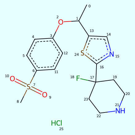 CC(Oc1ccc(S(C)(=O)=O)cc1)c1cnc(C2(F)CCNCC2)s1.Cl